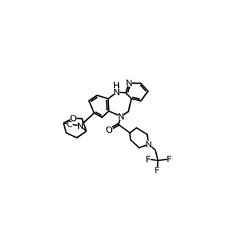 O=C(C1CCN(CC(F)(F)F)CC1)N1Cc2cccnc2Nc2ccc(N3CC4CCC3CO4)cc21